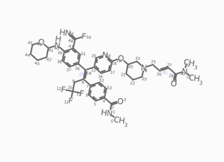 CNC(=O)c1ccc(/C(CC(F)(F)F)=C(\c2ccc(OC3CCCN(C/C=C/C(=O)N(C)C)C3)nc2)c2ccc(NC3CCCCO3)c(C(=N)F)c2)cc1